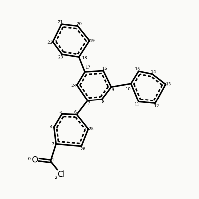 O=C(Cl)c1ccc(-c2cc(-c3ccccc3)cc(-c3ccccc3)c2)cc1